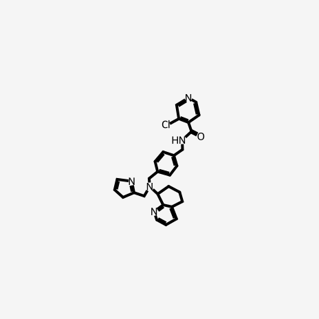 O=C(NCc1ccc(CN(CC2=NC=CC2)C2CCCc3cccnc32)cc1)c1ccncc1Cl